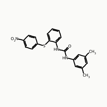 Cc1cc(C)cc(NC(=O)Nc2ccccc2Sc2ccc([N+](=O)[O-])cc2)c1